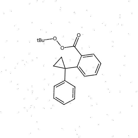 CC(C)(C)OOC(=O)c1ccccc1C1(c2ccccc2)CC1